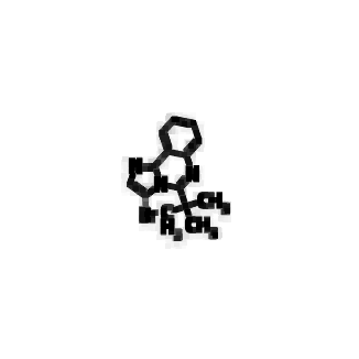 CC(C)(C)c1nc2ccccc2c2ncc(Br)n12